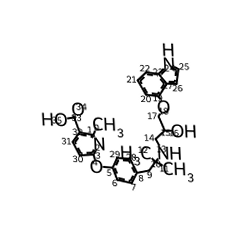 Cc1nc(Oc2ccc(CC(C)(C)NCC(O)COc3cccc4[nH]ccc34)cc2)ccc1C(=O)O